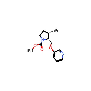 CCC[C@H]1CCN(C(=O)OC(C)(C)C)[C@H]1COc1cccnc1